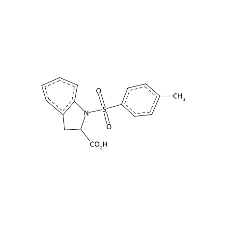 Cc1ccc(S(=O)(=O)N2c3ccccc3CC2C(=O)O)cc1